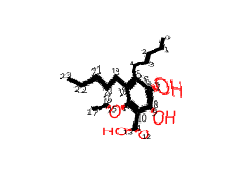 CCCCCc1c(O)c(O)c(C(=O)O)c(OCC)c1CCCCC